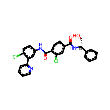 O=C(N[C@H](CO)c1ccccc1)c1ccc(C(=O)Nc2ccc(Cl)c(-c3ccccn3)c2)c(Cl)c1